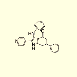 O=C1CC(c2ccccc2)Cc2[nH]c(-c3ccncc3)c(Nc3ccccc3)c21